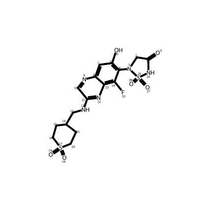 O=C1CN(c2c(O)cc3ncc(NCC4CCS(=O)(=O)CC4)nc3c2F)S(=O)(=O)N1